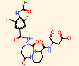 CC(=O)Nc1c(Cl)cc(C(=O)NN2CCC(=O)N3CCCC(C(=O)NC(C=O)CC(=O)O)N3C2=O)cc1Cl